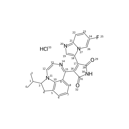 CC(C)C1Cc2cccc3c2N1C=CN=C3C1=C(c2cnc3ccc(F)cn23)C(=O)NC1=O.Cl